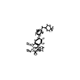 COc1cc(-c2nnn(CC3CCC(F)(F)CC3)n2)ccc1S(=O)(=O)NC(=O)OC(C)(C)C